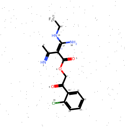 CC(=N)/C(C(=O)OCC(=O)c1ccccc1Cl)=C(/N)NCC(F)(F)F